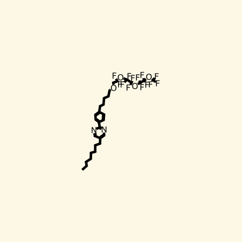 CCCCCCCCc1cnc(-c2ccc(CCCCCOCC(F)(F)OC(F)(F)C(F)(F)OC(F)(F)C(F)(F)OC(F)(F)F)cc2)nc1